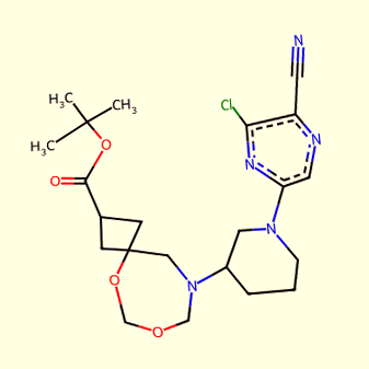 CC(C)(C)OC(=O)C1CC2(C1)CN(C1CCCN(c3cnc(C#N)c(Cl)n3)C1)COCO2